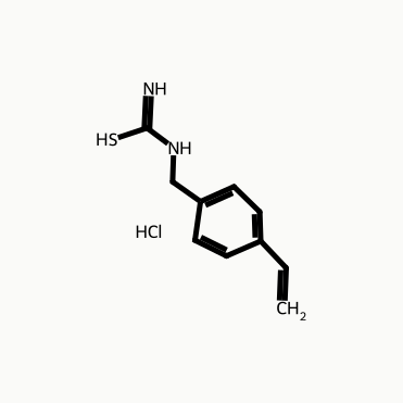 C=Cc1ccc(CNC(=N)S)cc1.Cl